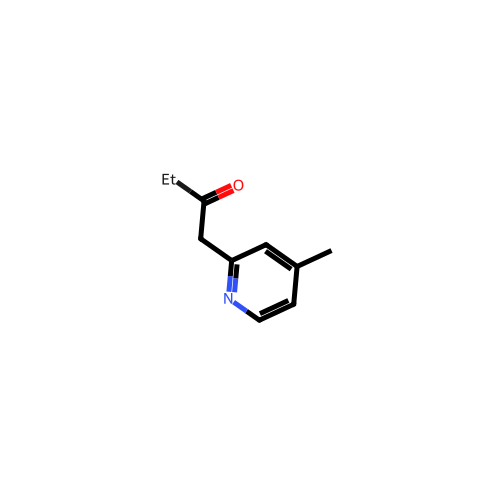 CCC(=O)Cc1cc(C)ccn1